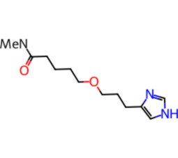 CNC(=O)CCCCOCCCc1c[nH]cn1